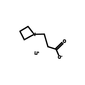 O=C([O-])CCN1CCC1.[Li+]